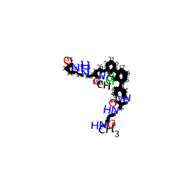 CNC(=O)CCNCc1cnc2cc(-c3cccc(-c4cccc(-c5ccc(CNC[C@H]6CCC(=O)N6)c(OC)n5)c4Cl)c3Cl)ccn2c1=O